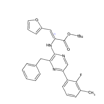 Cc1cccc(-c2cnc(N/C(=C\c3ccco3)C(=O)OC(C)(C)C)c(Cc3ccccc3)n2)c1F